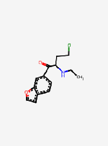 CCNC(CCCl)C(=O)c1ccc2ccoc2c1